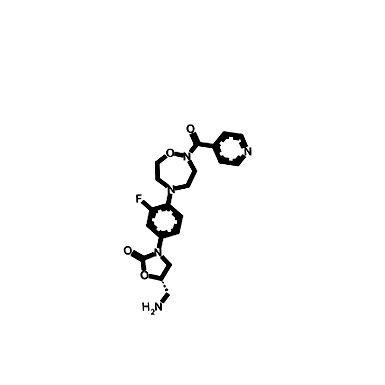 NC[C@H]1CN(c2ccc(N3CCON(C(=O)c4ccncc4)CC3)c(F)c2)C(=O)O1